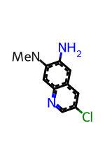 CNc1cc2ncc(Cl)cc2cc1N